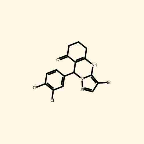 O=C1CCCC2=C1C(c1ccc(Cl)c(Cl)c1)n1ncc(Br)c1N2